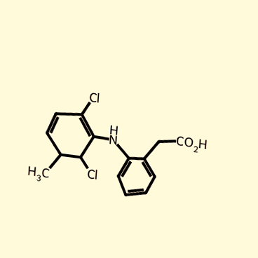 CC1C=CC(Cl)=C(Nc2ccccc2CC(=O)O)C1Cl